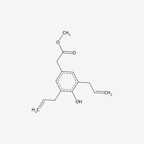 C=CCc1cc(CC(=O)OC)cc(CC=C)c1O